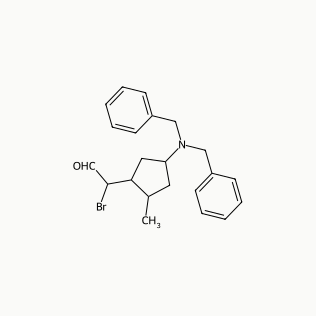 CC1CC(N(Cc2ccccc2)Cc2ccccc2)CC1C(Br)C=O